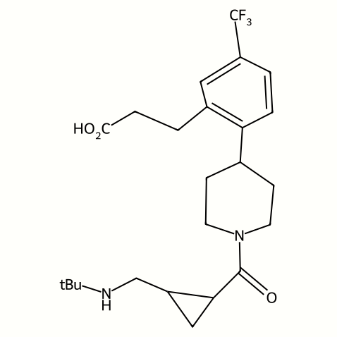 CC(C)(C)NCC1CC1C(=O)N1CCC(c2ccc(C(F)(F)F)cc2CCC(=O)O)CC1